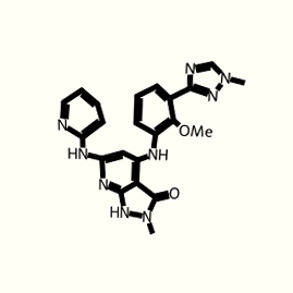 COc1c(Nc2cc(Nc3ccccn3)nc3[nH]n(C)c(=O)c23)cccc1-c1ncn(C)n1